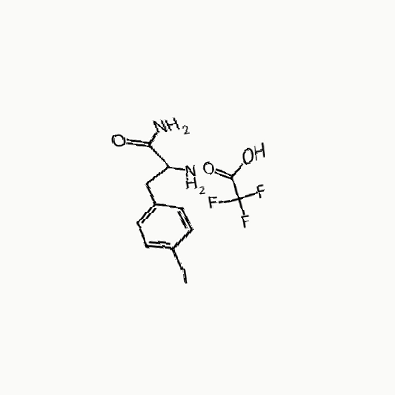 NC(=O)C(N)Cc1ccc(I)cc1.O=C(O)C(F)(F)F